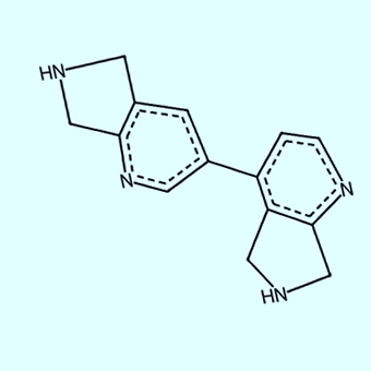 c1cc(-c2cnc3c(c2)CNC3)c2c(n1)CNC2